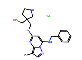 CC(C)c1cnn2c(NCc3ccccc3)cc(NCC3(CO)CCNC3)nc12.Cl